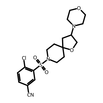 N#Cc1ccc(Cl)c(S(=O)(=O)N2CCC3(CC2)CC(N2CCOCC2)CO3)c1